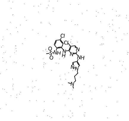 CN(C)CCCn1cc(Nc2ncc(Cl)c(Nc3cc(Cl)ccc3NS(C)(=O)=O)n2)cn1